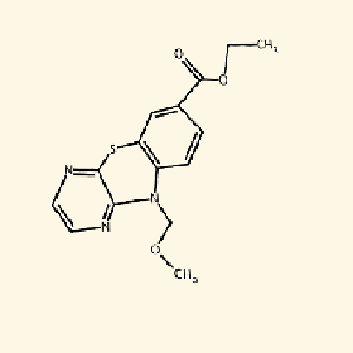 CCOC(=O)c1ccc2c(c1)Sc1nccnc1N2COC